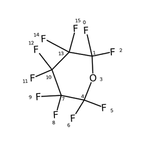 FC1(F)OC(F)(F)C(F)(F)C(F)(F)C1(F)F